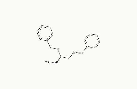 OC[C@H](COCc1ccccc1)OCc1ccccc1